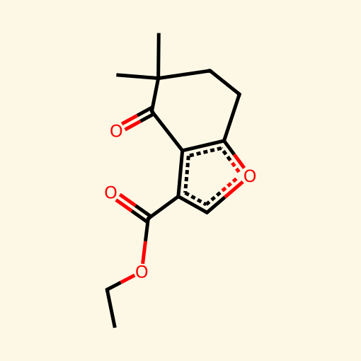 CCOC(=O)c1coc2c1C(=O)C(C)(C)CC2